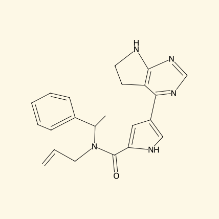 C=CCN(C(=O)c1cc(-c2ncnc3c2CCN3)c[nH]1)C(C)c1ccccc1